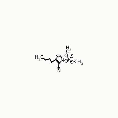 CCCCC1=C(C#N)N(OP(=S)(OC)OC)CS1